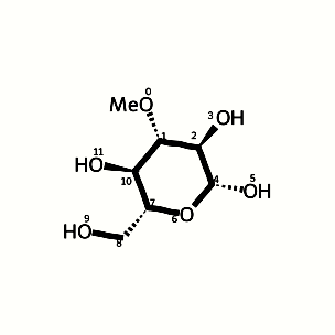 CO[C@@H]1[C@@H](O)[C@H](O)O[C@H](CO)[C@H]1O